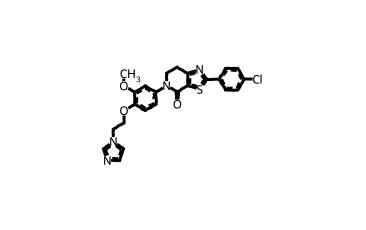 COc1cc(N2CCc3nc(-c4ccc(Cl)cc4)sc3C2=O)ccc1OCCn1ccnc1